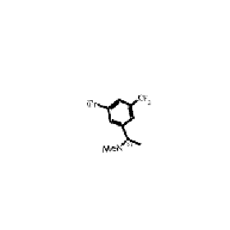 CN[C@H](C)c1cc(C(C)C)cc(C(F)(F)F)c1